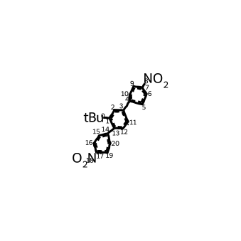 CC(C)(C)c1cc(-c2ccc([N+](=O)[O-])cc2)[c]cc1-c1ccc([N+](=O)[O-])cc1